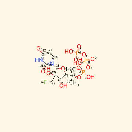 CC(C)(OP(=O)(O)OP(=O)(O)OP(=O)(O)O)C1O[C@@H](n2ccc(=O)[nH]c2=O)C(O)(CF)[C@H]1O